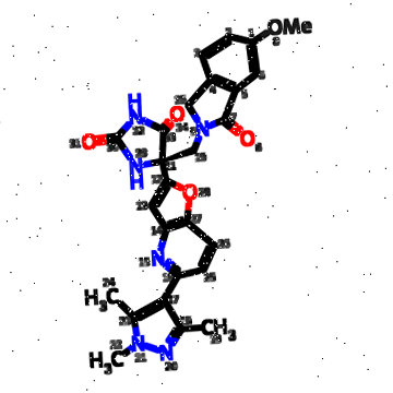 COc1ccc2c(c1)C(=O)N(C[C@@]1(c3cc4nc(-c5c(C)nn(C)c5C)ccc4o3)NC(=O)NC1=O)C2